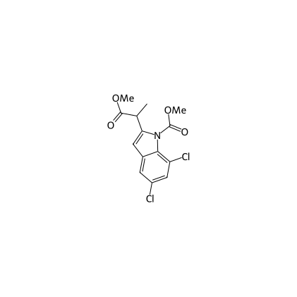 COC(=O)C(C)c1cc2cc(Cl)cc(Cl)c2n1C(=O)OC